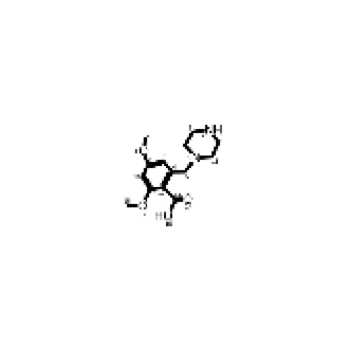 COc1cc(CN2CCNCC2)c(C(=O)O)c(OC)c1